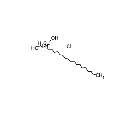 CCCCCCCCCCCCCCCCCC[N+](C)(CCO)CCO.[Cl-]